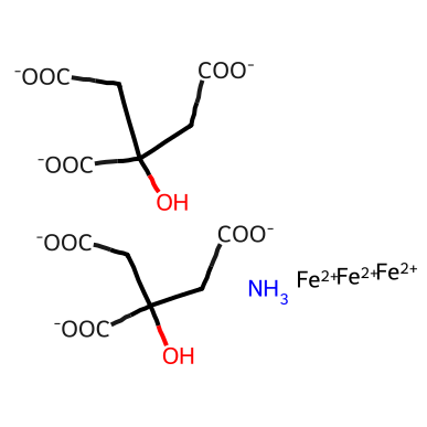 N.O=C([O-])CC(O)(CC(=O)[O-])C(=O)[O-].O=C([O-])CC(O)(CC(=O)[O-])C(=O)[O-].[Fe+2].[Fe+2].[Fe+2]